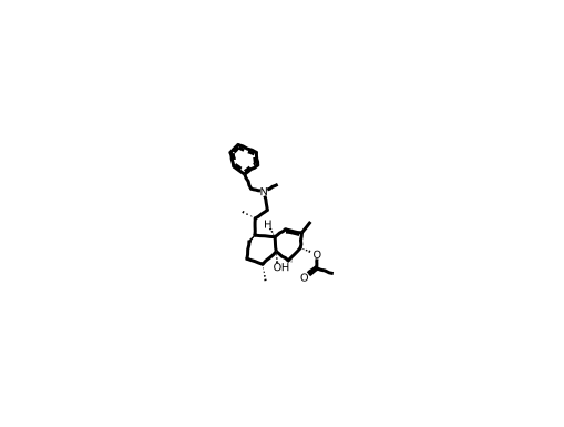 CC(=O)O[C@@H]1[C][C@@]2(O)[C@H](C)CC[C@@H]([C@H](C)CN(C)Cc3ccccc3)[C@H]2C=C1C